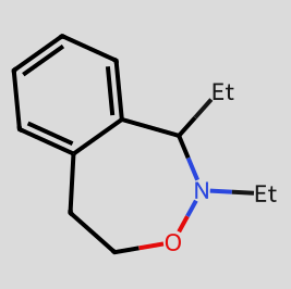 CCC1c2ccccc2CCON1CC